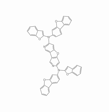 c1ccc2oc(N(c3ccc4c(c3)oc3ccccc34)c3cc4oc5cc(N(c6ccc7c(c6)oc6ccccc67)c6cc7ccccc7o6)ncc5c4cn3)cc2c1